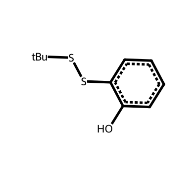 CC(C)(C)SSc1ccccc1O